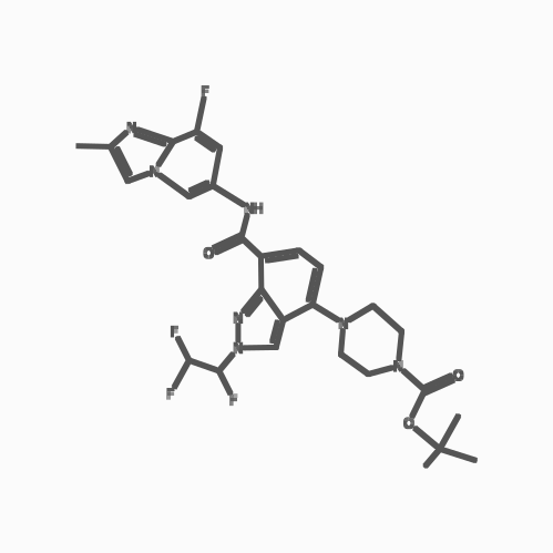 Cc1cn2cc(NC(=O)c3ccc(N4CCN(C(=O)OC(C)(C)C)CC4)c4cn(C(F)C(F)F)nc34)cc(F)c2n1